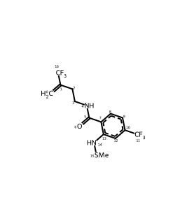 C=C(CCNC(=O)c1ccc(C(F)(F)F)cc1NSC)C(F)(F)F